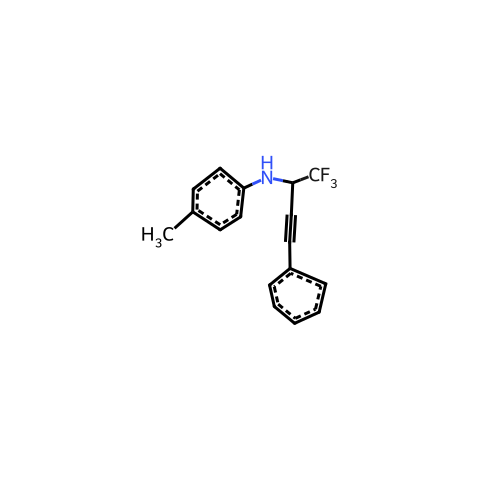 Cc1ccc(NC(C#Cc2ccccc2)C(F)(F)F)cc1